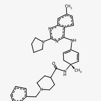 Cc1ccc2c(NC3=CC[C@@](C)(NC(=O)C4CCN(Cc5ccccc5)CC4)C=C3)nc(N3CCCC3)nc2c1